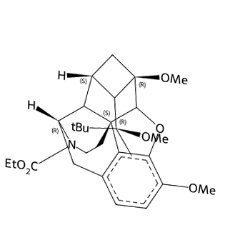 CCOC(=O)N1CC[C@]23c4c5ccc(OC)c4OC2[C@@]2(OC)C[C@@H](C3[C@H]1C5)C2[C@@](C)(OC)C(C)(C)C